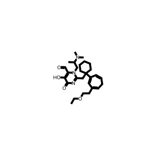 CCOCCC1=CCC=CC(C2(Cc3nc(=O)c(O)c(C=O)n3CC(C)N(C)C)CCCCC2)=C1